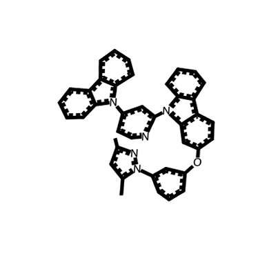 Cc1cc(C)n(-c2cccc(Oc3ccc4c5ccccc5n(-c5cc(-n6c7ccccc7c7ccccc76)ccn5)c4c3)c2)n1